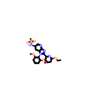 CCOc1cccc(-c2nc3ncc(NS(C)(=O)=O)cc3n2-c2c(OC)cccc2OC)n1